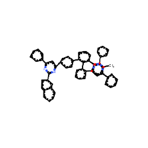 Cc1cccc(-c2cccc(-c3ccc(-c4cc(-c5ccccc5)nc(-c5ccc6ccccc6c5)n4)cc3)c2-c2ccccc2-c2cc(-c3ccccc3)nc(-c3ccccc3)n2)n1